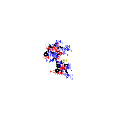 C[C@@H](O)[C@H](N)C(=O)N[C@@H](Cc1ccc(O)cc1)C(=O)N[C@H](C(=O)N[C@@H](CC(N)=O)C(=O)N[C@@H](CCCNC(=N)N)C(=O)N[C@@H](CCN)C(=O)N[C@H](C(=O)N[C@H](CCN)C(=O)N[C@@H](Cc1ccc(O)cc1)C(=O)N[C@@H](CS)C(=O)N[C@@H](CCN)C(=O)N[C@@H](CCCNC(=N)N)C(=O)N[C@@H](Cc1ccc(O)cc1)C(=O)O)[C@@H](C)O)C(C)(C)S